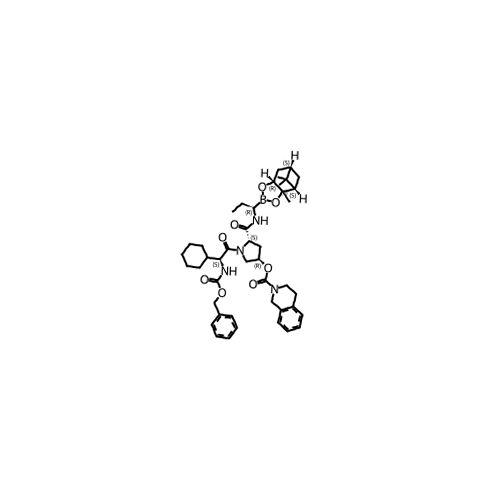 CC[C@H](NC(=O)[C@@H]1C[C@@H](OC(=O)N2CCc3ccccc3C2)CN1C(=O)[C@@H](NC(=O)OCc1ccccc1)C1CCCCC1)B1O[C@@H]2C[C@@H]3C[C@@H](C3(C)C)[C@]2(C)O1